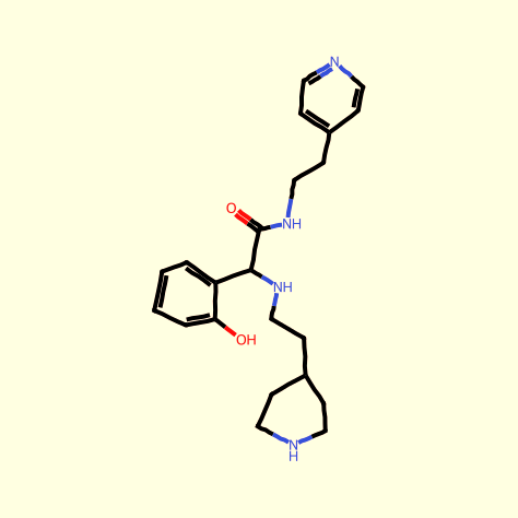 O=C(NCCc1ccncc1)C(NCCC1CCNCC1)c1ccccc1O